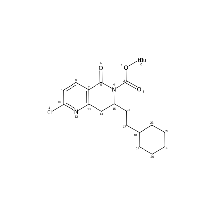 CC(C)(C)OC(=O)N1C(=O)c2ccc(Cl)nc2CC1CCC1CCCCC1